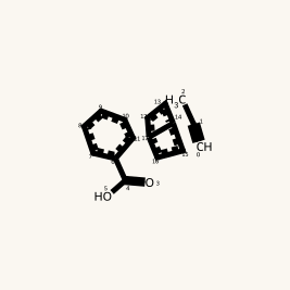 C#CC.O=C(O)c1ccccc1.c1cc2ccc1-2